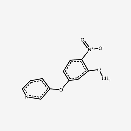 COc1cc(Oc2cccnc2)ccc1[N+](=O)[O-]